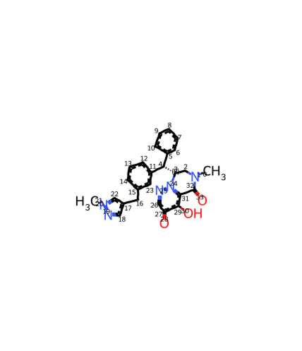 CN1C[C@@H](C(c2ccccc2)c2cccc(Cc3cnn(C)c3)c2)n2ncc(=O)c(O)c2C1=O